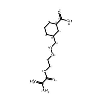 C=C(C)C(=O)OCCOOCC1CCCC(C(=O)O)C1